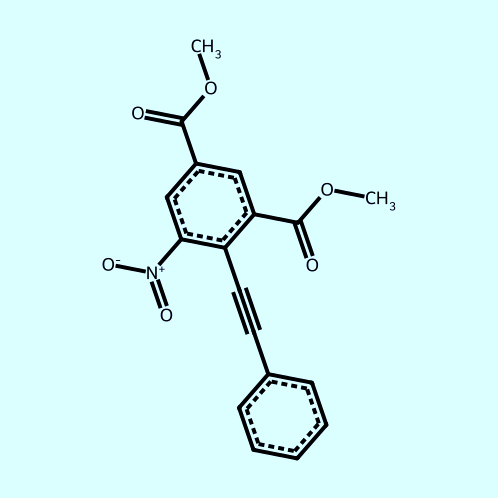 COC(=O)c1cc(C(=O)OC)c(C#Cc2ccccc2)c([N+](=O)[O-])c1